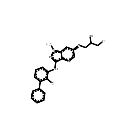 Cn1[nH]c(Nc2cccc(-c3ccccc3)c2Cl)c2ncc(=NCC(O)CO)cc1-2